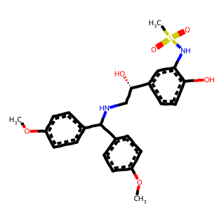 COc1ccc(C(NC[C@H](O)c2ccc(O)c(NS(C)(=O)=O)c2)c2ccc(OC)cc2)cc1